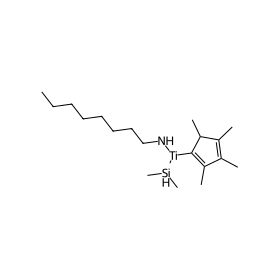 CCCCCCCC[NH][Ti]([C]1=C(C)C(C)=C(C)C1C)[SiH](C)C